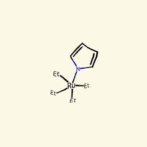 C[CH2][Ru]([CH2]C)([CH2]C)([CH2]C)[n]1cccc1